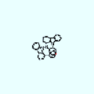 c1ccc(-c2cccc3c4ccccc4n(B4c5ccccc5-n5c6ccccc6c6cccc4c65)c23)cc1